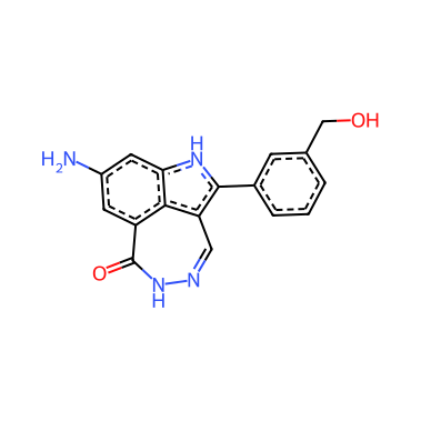 Nc1cc2c3c(c(-c4cccc(CO)c4)[nH]c3c1)C=NNC2=O